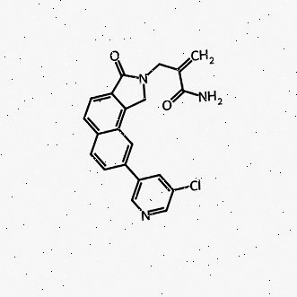 C=C(CN1Cc2c(ccc3ccc(-c4cncc(Cl)c4)cc23)C1=O)C(N)=O